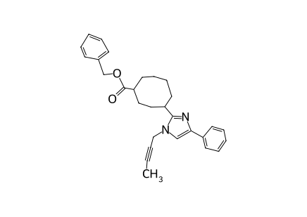 CC#CCn1cc(-c2ccccc2)nc1C1CCCCC(C(=O)OCc2ccccc2)CC1